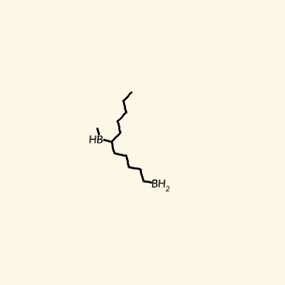 BCCCCCC(BC)CCCCC